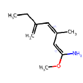 C=C(/C=C(C)\C=C(/N)OC)CC